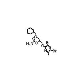 Cc1nc(OC[C@H](COCc2ccccc2)OC(N)=O)c(Br)cc1Br